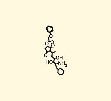 CC(C[C@H](O)[C@H](O)[C@@H](N)CC1CCCCC1)C1C(=O)C[C@H](OC(=O)COc2ccccc2)C1=O